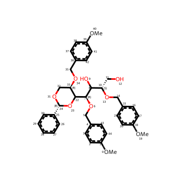 COc1ccc(CO[C@H](C(O)[C@H](CO)OCc2ccc(OC)cc2)C2O[C@H](c3ccccc3)OC[C@H]2OCc2ccc(OC)cc2)cc1